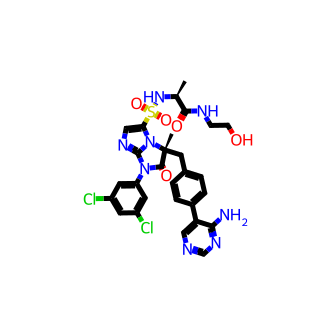 C[C@H](NS(=O)(=O)c1cnc2n1[C@](C)(Cc1ccc(-c3cncnc3N)cc1)C(=O)N2c1cc(Cl)cc(Cl)c1)C(=O)NCCO